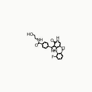 O=C(NCCO)c1ccc(-c2nn(-c3c(F)cccc3F)c3c(Cl)c[nH]c(=O)c23)cc1